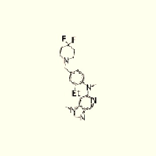 CCc1cc(CN2CCC(F)(F)CC2)ccc1N(C)c1cc2c(cn1)ncn2C